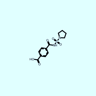 O=C(O)c1ccc(C(=O)NS(=O)(=O)N2CCCC2)cc1